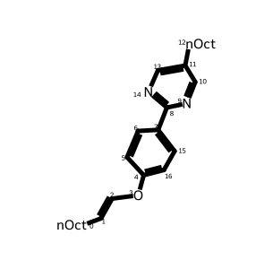 CCCCCCCCC=COc1ccc(-c2ncc(CCCCCCCC)cn2)cc1